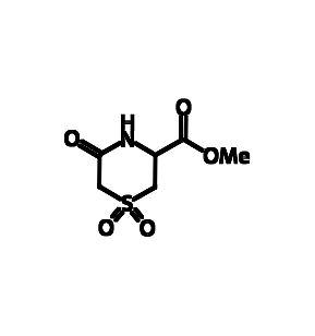 COC(=O)C1CS(=O)(=O)CC(=O)N1